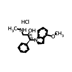 CNC[C@@H](O)[C@H](c1ccccc1)n1ccc2c(OC)cccc21.Cl